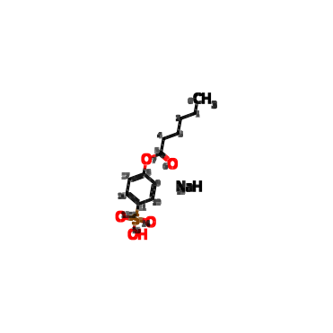 CCCCCC(=O)Oc1ccc(S(=O)(=O)O)cc1.[NaH]